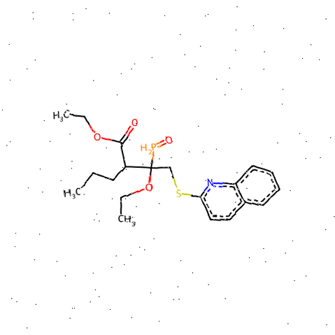 CCCC(C(=O)OCC)C(CSc1ccc2ccccc2n1)(OCC)[PH2]=O